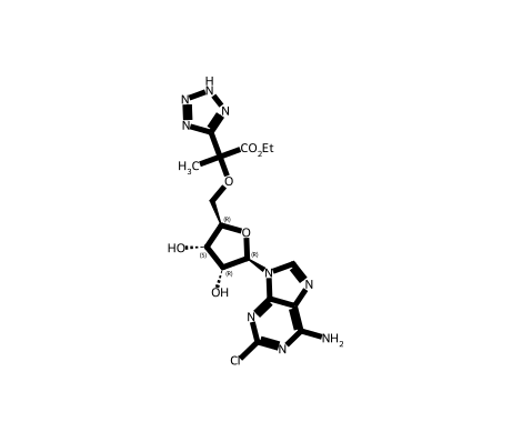 CCOC(=O)C(C)(OC[C@H]1O[C@@H](n2cnc3c(N)nc(Cl)nc32)[C@H](O)[C@@H]1O)c1nn[nH]n1